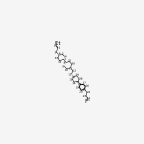 CCC=CC[C@H]1CC[C@H]([C@H]2CC[C@H](CC[C@H]3CC[C@H](c4ccc(CCCF)cc4)CC3)CC2)CC1